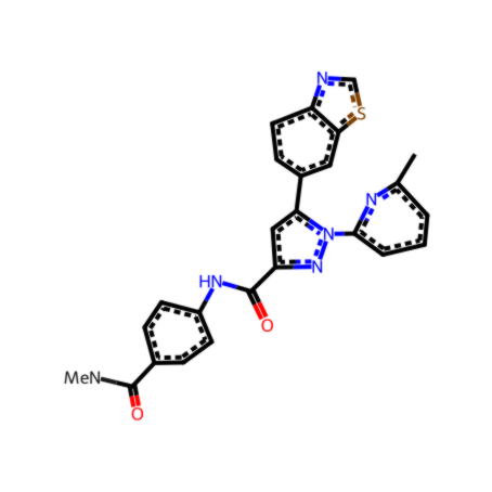 CNC(=O)c1ccc(NC(=O)c2cc(-c3ccc4ncsc4c3)n(-c3cccc(C)n3)n2)cc1